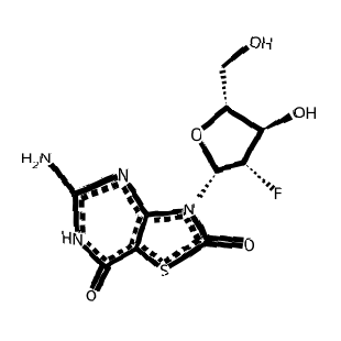 Nc1nc2c(sc(=O)n2[C@@H]2O[C@H](CO)[C@@H](O)[C@@H]2F)c(=O)[nH]1